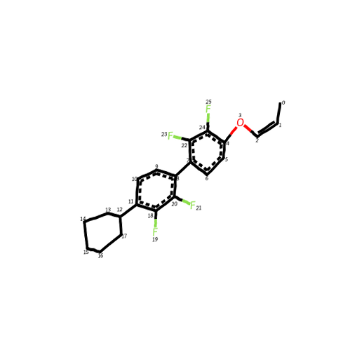 C/C=C\Oc1ccc(-c2ccc(C3CCCCC3)c(F)c2F)c(F)c1F